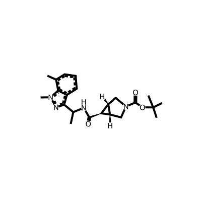 Cc1cccc2c(C(C)NC(=O)[C@H]3[C@@H]4CN(C(=O)OC(C)(C)C)C[C@@H]43)nn(C)c12